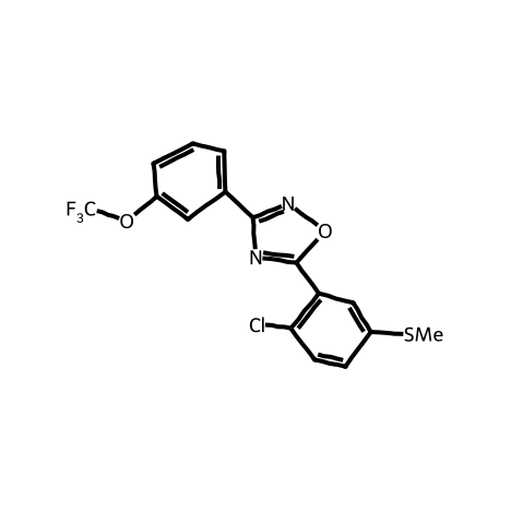 CSc1ccc(Cl)c(-c2nc(-c3cccc(OC(F)(F)F)c3)no2)c1